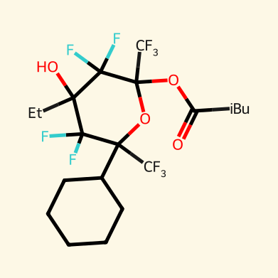 CCC(C)C(=O)OC1(C(F)(F)F)OC(C2CCCCC2)(C(F)(F)F)C(F)(F)C(O)(CC)C1(F)F